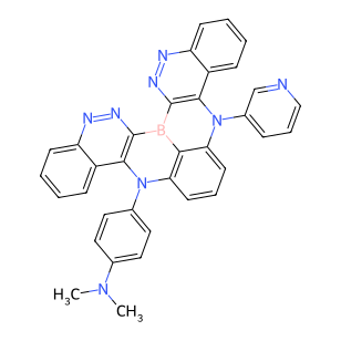 CN(C)c1ccc(N2c3cccc4c3B(c3nnc5ccccc5c32)c2nnc3ccccc3c2N4c2cccnc2)cc1